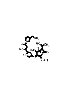 CC(O)C1C(=O)N2C(C(=O)O)=C(SC3CNC(C(O)CC(=O)N4CCC(CN)C4)C3)C(C)[C@@H]12